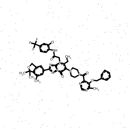 CCc1c(N2CCN(C(=O)c3ncnc(C)c3OCc3ccccc3)CC2)c(=O)n2nc(-c3cc(C)c4c(c3)COC4(C)C)nc2n1CC(=O)Nc1ccc(C(F)(F)F)cc1Cl